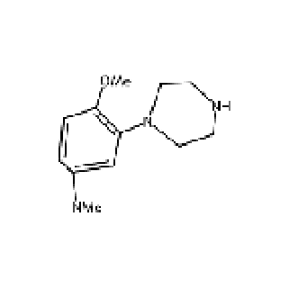 CNc1ccc(OC)c(N2CCNCC2)c1